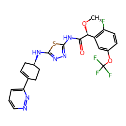 CO[C@H](C(=O)Nc1nnc(N[C@@H]2CC=C(c3cccnn3)CC2)s1)c1cc(OC(F)(F)F)ccc1F